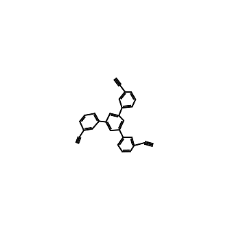 C#Cc1cccc(-c2cc(-c3cccc(C#C)c3)cc(-c3cccc(C#C)c3)c2)c1